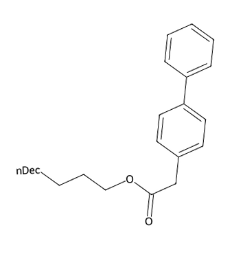 CCCCCCCCCCCCCOC(=O)Cc1ccc(-c2ccccc2)cc1